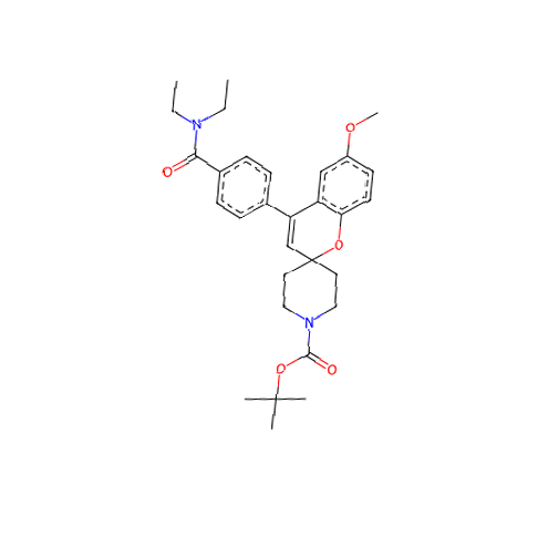 CCN(CC)C(=O)c1ccc(C2=CC3(CCN(C(=O)OC(C)(C)C)CC3)Oc3ccc(OC)cc32)cc1